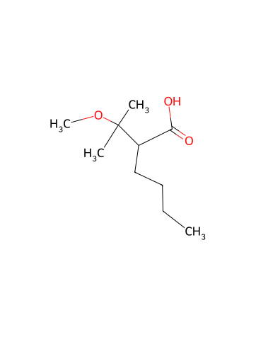 CCCCC(C(=O)O)C(C)(C)OC